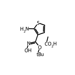 CC(=O)O.CC(C)(C)OC(=NO)c1ccsc1N